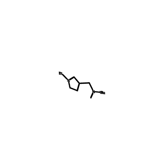 CCN1CCC(CN(C)C(C)(C)C)C1